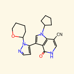 N#Cc1c[nH]c(=O)c2c(-c3ccnn3C3CCCCO3)cn(C3CCCC3)c12